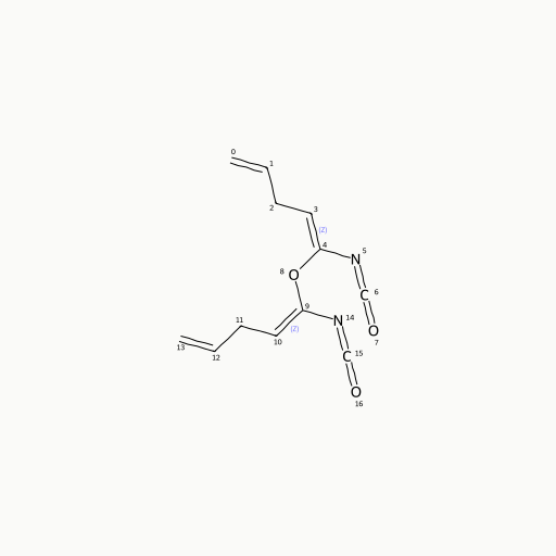 C=CC/C=C(/N=C=O)O/C(=C\CC=C)N=C=O